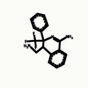 NCC1c2ccccc2C(N)=NC1(c1ccccc1)C(F)(F)F